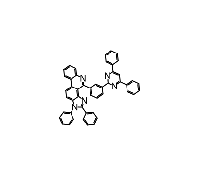 c1ccc(-c2cc(-c3ccccc3)nc(-c3cccc(-c4nc5ccccc5c5ccc6c(nc(-c7ccccc7)n6-c6ccccc6)c45)c3)n2)cc1